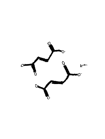 O=C([O-])/C=C/C(=O)[O-].O=C([O-])/C=C/C(=O)[O-].[Ir+4]